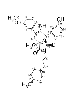 COc1ccc2[nH]c3c(c2c1)CC1(C)C(=O)N(CCCN2CCC(C)CC2)C(=O)N1C3c1cccc(O)c1